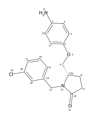 Nc1ccc(OC[C@@H]2CCC(=O)N2Cc2cccc(Cl)c2)cc1